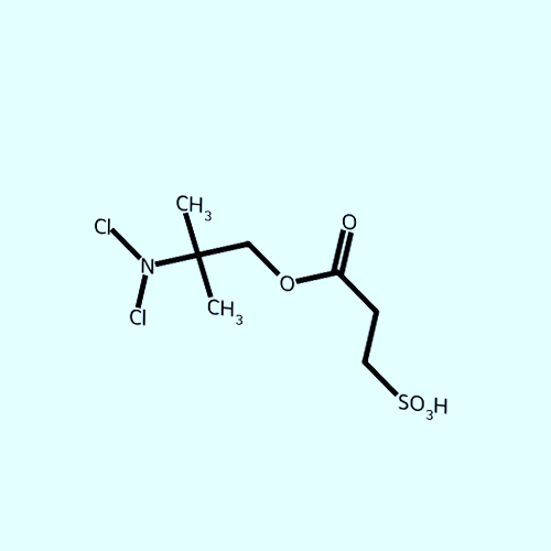 CC(C)(COC(=O)CCS(=O)(=O)O)N(Cl)Cl